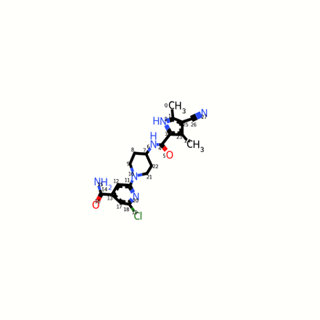 Cc1[nH]c(C(=O)NC2CCN(c3cc(C(N)=O)cc(Cl)n3)CC2)c(C)c1C#N